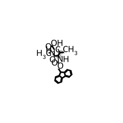 CC[C@H](C)[C@H](NC(=O)OCC1c2ccccc2-c2ccccc21)C(=O)N(C)CC(=O)O